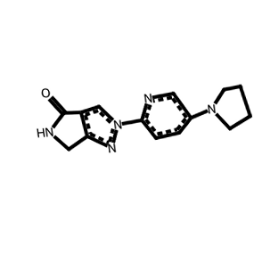 O=C1NCc2nn(-c3ccc(N4CCCC4)cn3)cc21